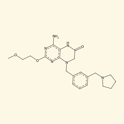 COCCOc1nc(N)c2c(n1)N(Cc1cccc(CN3CCCC3)c1)CC(=O)N2